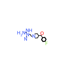 N#CN(CCN1CCC(C(=O)c2ccc(F)cc2)CC1)C(=N)N